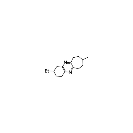 CCC1CCc2nc3c(nc2C1)CCC(C)CC3